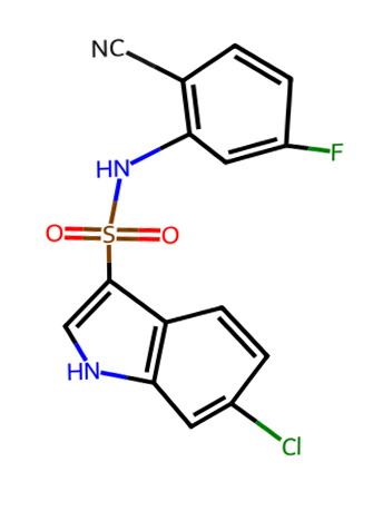 N#Cc1ccc(F)cc1NS(=O)(=O)c1c[nH]c2cc(Cl)ccc12